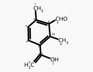 C=C(O)c1ccc(C)c(C=O)c1C